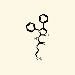 CCCOC(=O)NC1NC=C(c2ccccc2)N1c1ccccc1